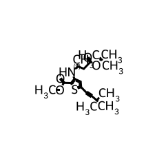 COC(=O)c1sc(C#CC(C)(C)C)cc1N[C@@H](C)CC(=O)OC(C)(C)C